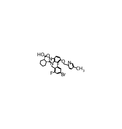 Cc1ccc(COc2ccc3nc([C@H]4CCCC[C@H]4C(=O)O)n(Cc4c(F)cc(Br)cc4F)c3c2)nc1